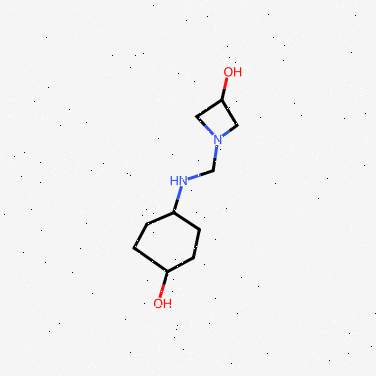 OC1CCC(NCN2CC(O)C2)CC1